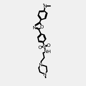 CN1CCN(CCCNS(=O)(=O)c2ccc(-c3ncc(-c4ccc(N(C)C)cc4)o3)cc2)CC1